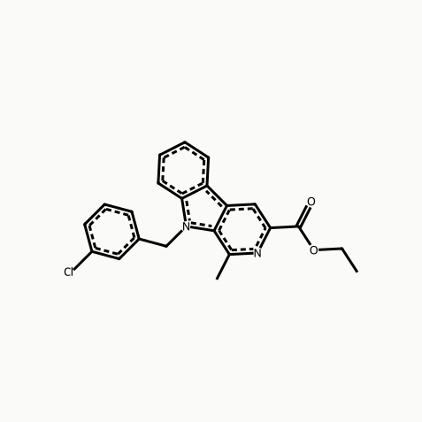 CCOC(=O)c1cc2c3ccccc3n(Cc3cccc(Cl)c3)c2c(C)n1